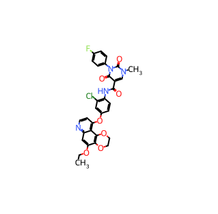 CCOc1cc2nccc(Oc3ccc(NC(=O)c4cn(C)c(=O)n(-c5ccc(F)cc5)c4=O)c(Cl)c3)c2c2c1OCCO2